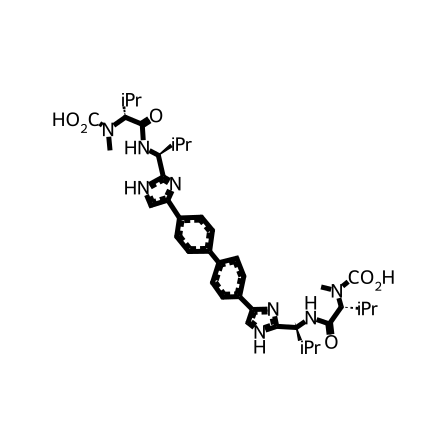 CC(C)[C@H](NC(=O)[C@@H](C(C)C)N(C)C(=O)O)c1nc(-c2ccc(-c3ccc(-c4c[nH]c([C@@H](NC(=O)[C@@H](C(C)C)N(C)C(=O)O)C(C)C)n4)cc3)cc2)c[nH]1